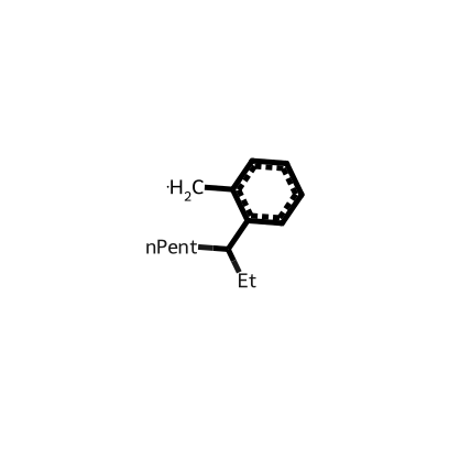 [CH2]c1ccccc1C(CC)CCCCC